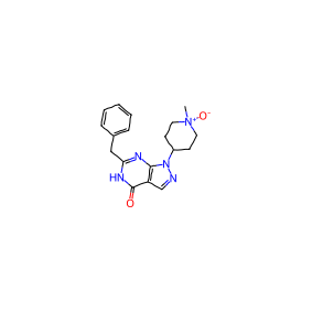 C[N+]1([O-])CCC(n2ncc3c(=O)[nH]c(Cc4ccccc4)nc32)CC1